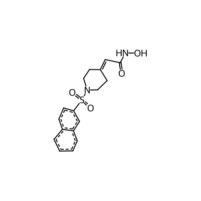 O=C(C=C1CCN(S(=O)(=O)c2ccc3ccccc3c2)CC1)NO